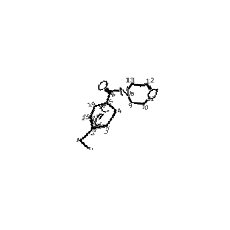 CCC12CCC(C(=O)N3CCOCC3)(CC1)CC2